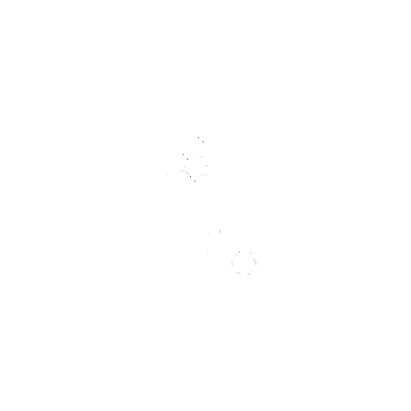 Nc1ccn([C@@H]2O[C@@](COP3(=S)OCc4ccccc4O3)(C(F)F)[C@@H](F)[C@@H]2O)c(=O)n1